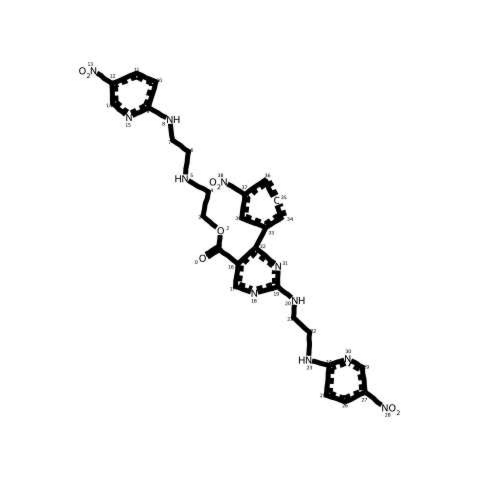 O=C(OCCNCCNc1ccc([N+](=O)[O-])cn1)c1cnc(NCCNc2ccc([N+](=O)[O-])cn2)nc1-c1cccc([N+](=O)[O-])c1